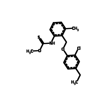 CCc1ccc(OCc2c(C)cccc2NC(=S)OC)c(Cl)c1